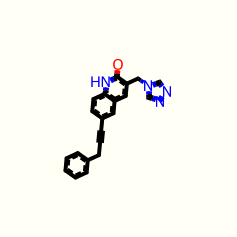 O=c1[nH]c2ccc(C#CCc3ccccc3)cc2cc1Cn1cnnc1